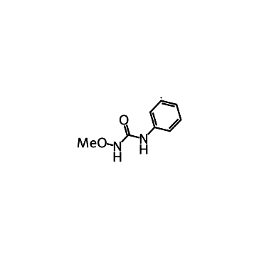 CONC(=O)Nc1c[c]ccc1